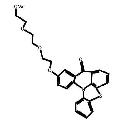 COCCOCCOCCOc1ccc2c(c1)c(=O)c1cccc3c1n2-c1ccccc1S3